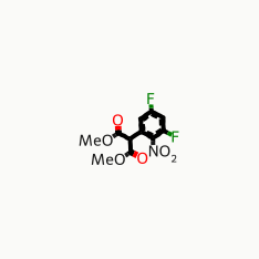 COC(=O)C(C(=O)OC)c1cc(F)cc(F)c1[N+](=O)[O-]